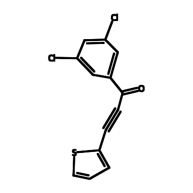 O=C(C#Cc1cccs1)c1cc(Cl)cc(Cl)c1